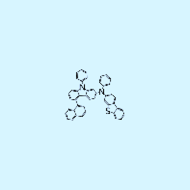 c1ccc(N(c2ccc3c(c2)sc2ccccc23)c2ccc3c4c(-c5cccc6ccccc56)cccc4n(-c4ccccc4)c3c2)cc1